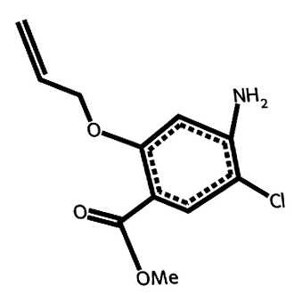 C=CCOc1cc(N)c(Cl)cc1C(=O)OC